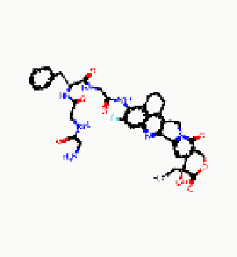 CC[C@@]1(O)C(=O)OCc2c1cc1n(c2=O)Cc2c-1nc1cc(F)c(NC(=O)CNC(=O)[C@H](Cc3ccccc3)NC(=O)CNC(=O)CN)c3c1c2CCC3